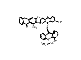 CC(C)c1ccc2sc3ccccc3c(=O)c2c1.CC(C)c1cccc2c(=O)c3ccccc3sc12.CCOC(C)=O.Cc1cc2sc3ccccc3c(=O)c2c(C)c1O